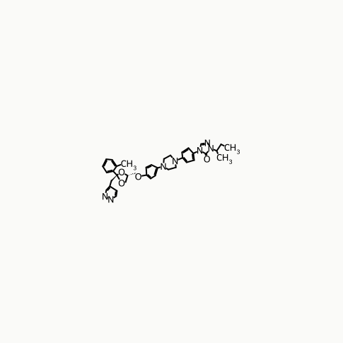 CCC(C)n1ncn(-c2ccc(N3CCN(c4ccc(OC[C@@H]5CO[C@](Cc6ccnnc6)(c6ccccc6C)O5)cc4)CC3)cc2)c1=O